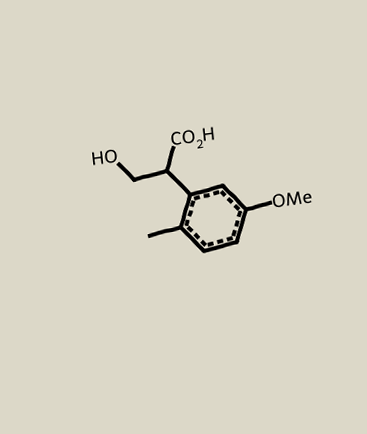 COc1ccc(C)c(C(CO)C(=O)O)c1